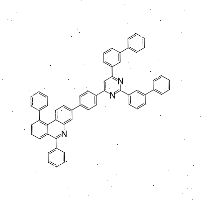 c1ccc(-c2cccc(-c3cc(-c4ccc(-c5ccc6c(c5)nc(-c5ccccc5)c5cccc(-c7ccccc7)c56)cc4)nc(-c4cccc(-c5ccccc5)c4)n3)c2)cc1